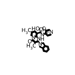 Cc1cc(C(C)Nc2ccncc2C(=O)O)c2nc(N3Cc4ccccc4C3)c(C)c(=O)n2c1